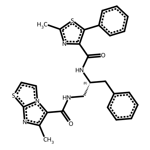 Cc1nc(C(=O)N[C@@H](CNC(=O)c2c(C)nc3sccn23)Cc2ccccc2)c(-c2ccccc2)s1